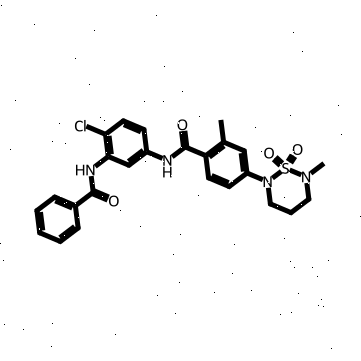 Cc1cc(N2CCCN(C)S2(=O)=O)ccc1C(=O)Nc1ccc(Cl)c(NC(=O)c2ccccc2)c1